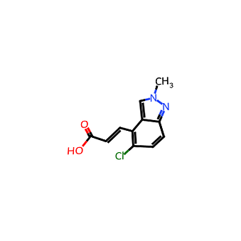 Cn1cc2c(C=CC(=O)O)c(Cl)ccc2n1